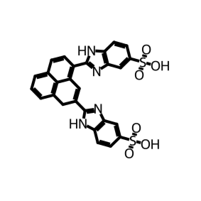 O=S(=O)(O)c1ccc2[nH]c(C3=Cc4c(-c5nc6cc(S(=O)(=O)O)ccc6[nH]5)ccc5cccc(c45)C3)nc2c1